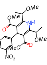 COC(=O)C1=C(C(C)OC)NC(C(C)OC)=C(C(=O)OC)C1c1cccc([N+](=O)[O-])c1